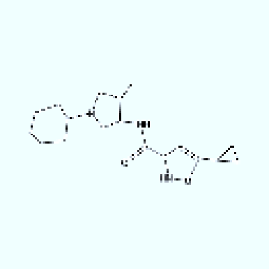 CC1CN(C2CCCCC2)CC1NC(=O)C1C=C(C2CC2)ON1